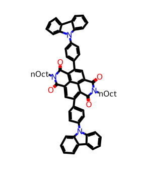 CCCCCCCCN1C(=O)c2cc(-c3ccc(-n4c5ccccc5c5ccccc54)cc3)c3c4c(cc(-c5ccc(-n6c7ccccc7c7ccccc76)cc5)c(c24)C1=O)C(=O)N(CCCCCCCC)C3=O